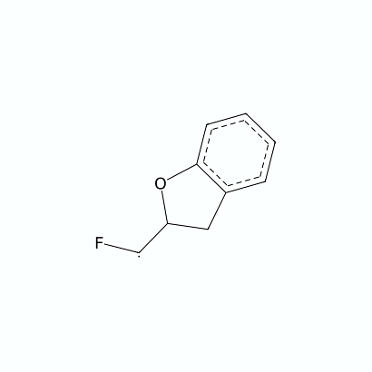 F[CH]C1Cc2ccccc2O1